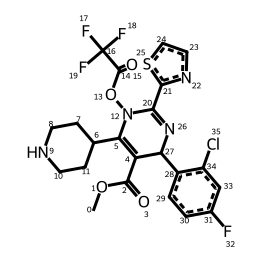 COC(=O)C1=C(C2CCNCC2)N(OC(=O)C(F)(F)F)C(c2nccs2)=NC1c1ccc(F)cc1Cl